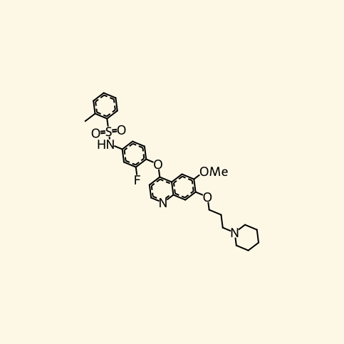 COc1cc2c(Oc3ccc(NS(=O)(=O)c4ccccc4C)cc3F)ccnc2cc1OCCCN1CCCCC1